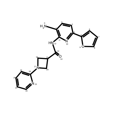 Nc1ccc(-c2ccco2)nc1NC(=O)C1CN(c2ccccn2)C1